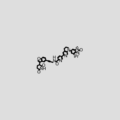 CC(C)c1cc(N2CCCc3cc(-c4ccc(C(=O)NCC#Cc5ccc6occ(C7CCC(=O)NC7=O)c6c5)nc4)ncc32)cc2c1n(C)c(=O)n2C